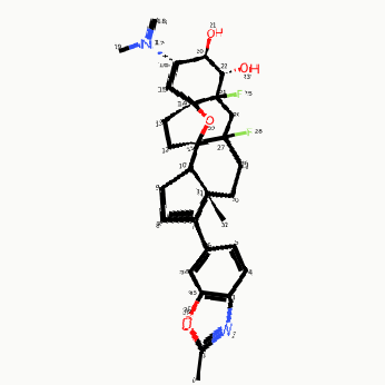 Cc1nc2ccc(C3=CCC4[C@@]56CC[C@]7(C[C@H](N(C)C)[C@@H](O)[C@H](O)C7(F)CC5(F)CC[C@]34C)O6)cc2o1